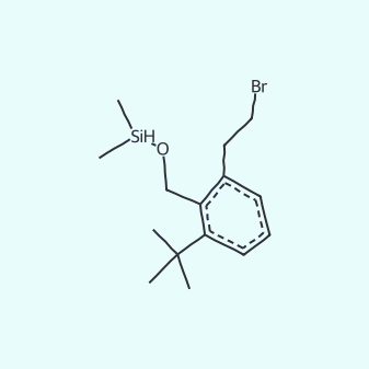 C[SiH](C)OCc1c(CCBr)cccc1C(C)(C)C